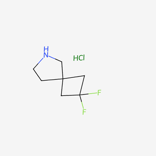 Cl.FC1(F)CC2(CCNC2)C1